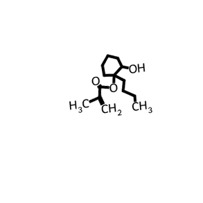 C=C(C)C(=O)OC1(CCCC)CCCCC1O